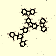 Cc1ccccc1-c1cc(-c2ccc(-n3c4ccc(-n5c6ccccc6c6ccccc65)cc4c4cc(-n5c6ccccc6c6ccccc65)ccc43)cc2C)nc(-c2ccccc2C)n1